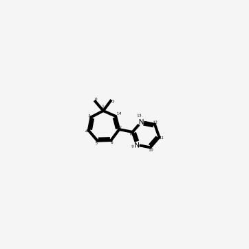 CC1(C)C=CC=CC(c2ncccn2)=C1